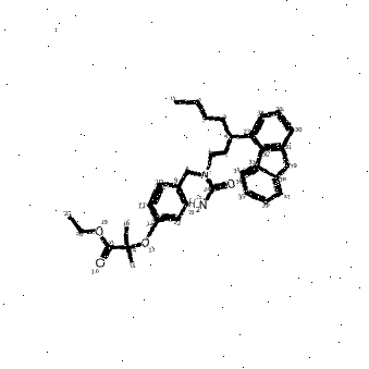 CCCCC(CCN(Cc1ccc(OC(C)(C)C(=O)OCC)cc1)C(N)=O)c1cccc2c1-c1ccccc1C2